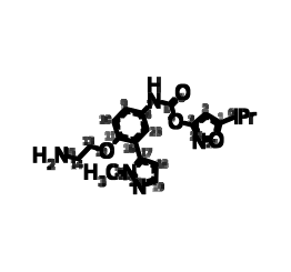 CC(C)c1cc(OC(=O)Nc2ccc(OCCN)c(-c3ccnn3C)c2)no1